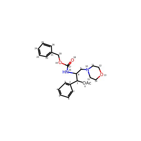 CC(=O)OC(c1ccccc1)C(CN1CCOCC1)NC(=O)OCc1ccccc1